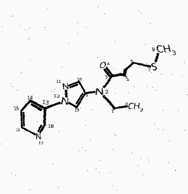 CCN(C(=O)CCSC)c1cnn(-c2cccnc2)c1